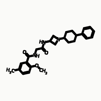 COc1ccc(C)cc1C(=O)NCC(=O)NC1CN(C2CCC(c3ccccc3)CC2)C1